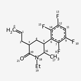 C=CCC1CC(c2c(F)c(F)cc(F)c2F)C(C)N(CC)C1=O